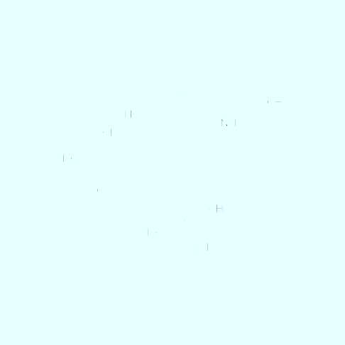 CCNC(=O)c1cc(C(C)(C)C)cc(C(C)(C)C)c1O